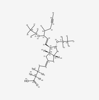 [2H]C([2H])(CC=C1C[C@H]2C[C@@H](O[Si](C)(C)C(C)(C)C)[C@H](C=CC(O[Si](C)(C)C(C)(C)C)C(C)CC#CC)[C@H]2C1)C([2H])([2H])C(=O)O